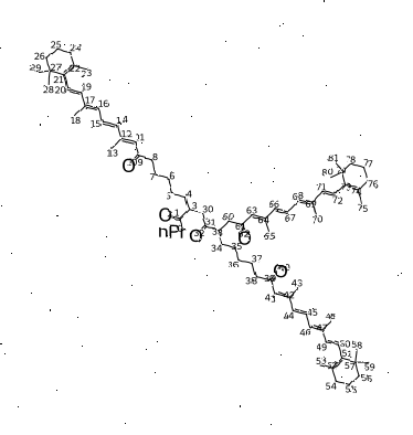 CCCC(=O)C(CCCCCC(=O)/C=C(C)/C=C/C=C(C)/C=C/C1=C(C)CCCC1(C)C)CC(=O)C(CCCCCC(=O)/C=C(C)/C=C/C=C(C)/C=C/C1=C(C)CCCC1(C)C)CC(=O)/C=C(C)/C=C/C=C(C)/C=C/C1=C(C)CCCC1(C)C